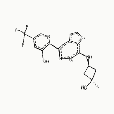 C[C@]1(O)C[C@@H](Nc2nnc(-c3ncc(C(F)(F)F)cc3O)c3ccoc23)C1